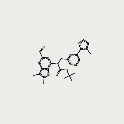 Cc1nn2c(N(Cc3cccc(-c4nccn4C)c3)C(=O)OC(C)(C)C)cc(C=O)nc2c1I